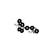 CC1(C)c2ccccc2-c2ccc(N(c3ccc(-c4ccc5c(c4)[Si](C)(C)c4ccccc4O5)cc3)c3cccc4ccccc34)cc21